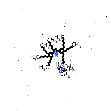 CCCCCCC1=C(c2cc(CCCCCC)c(CCCCCC)c(CCCCCC)c2)[N+](=[N-])C(c2cc(CCCCCC)c(CCCCCC)c(CCCCCC)c2)=C1.CC[N](CC)[Ni][N](CC)CC